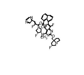 C#Cc1cccc2cccc(-c3ncc4c(N(C)[C@H]5CN(C(=O)/C(F)=C/c6cnccn6)C[C@H]5F)nc(OC[C@@]56CCCN5C[C@H](F)C6)nc4c3F)c12